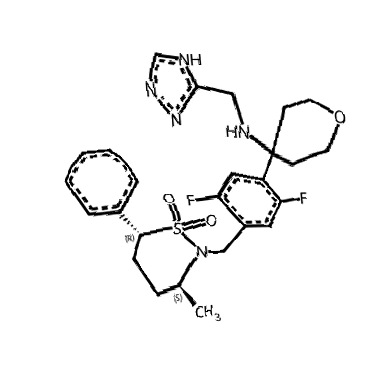 C[C@H]1CC[C@H](c2ccccc2)S(=O)(=O)N1Cc1cc(F)c(C2(NCc3nnc[nH]3)CCOCC2)cc1F